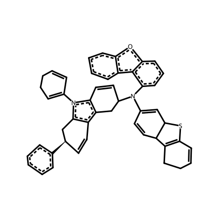 C1=CC(n2c3c(c4c2C[C@H](c2ccccc2)C=C4)CC(N(C2=CC4SC5=C(CCC=C5)C4C=C2)c2cccc4oc5ccccc5c24)C=C3)=CCC1